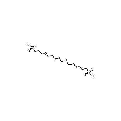 O=S(O)(=S)CCCOCCOCCOCCOCCCS(=O)(O)=S